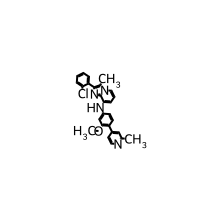 COc1cc(Nc2cccn3c(C)c(-c4ccccc4Cl)nc23)ccc1-c1ccnc(C)c1